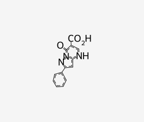 O=C(O)c1c[nH]c2cc(-c3ccccc3)nn2c1=O